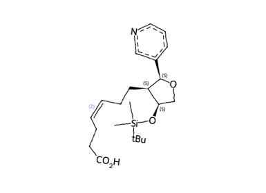 CC(C)(C)[Si](C)(C)O[C@@H]1CO[C@H](c2cccnc2)[C@@H]1CC/C=C\CCC(=O)O